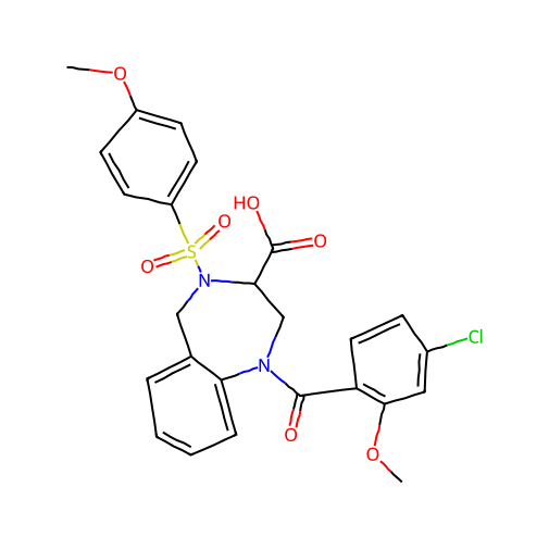 COc1ccc(S(=O)(=O)N2Cc3ccccc3N(C(=O)c3ccc(Cl)cc3OC)CC2C(=O)O)cc1